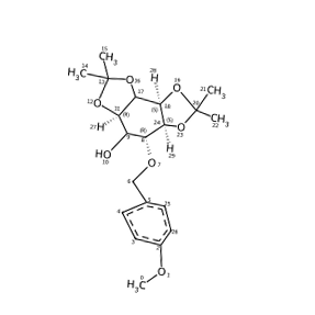 COc1ccc(CO[C@@H]2C(O)[C@H]3OC(C)(C)OC3[C@H]3OC(C)(C)O[C@@H]23)cc1